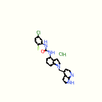 Cl.O=C(Nc1cc(Cl)ccc1F)Nc1cccc2c1ccn2Cc1ccnc2[nH]ccc12